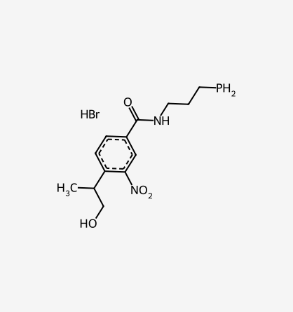 Br.CC(CO)c1ccc(C(=O)NCCCP)cc1[N+](=O)[O-]